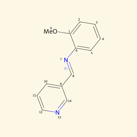 COc1ccccc1/N=C/c1cccnc1